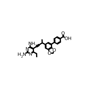 CCc1nc(N)nc(N)c1C#CC(C)c1cc2c(c(-c3ccc(C(=O)O)cc3)c1)OCO2